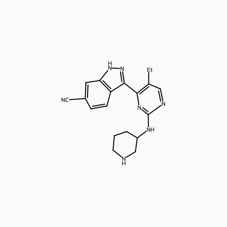 CCc1cnc(NC2CCCNC2)nc1-c1n[nH]c2cc(C#N)ccc12